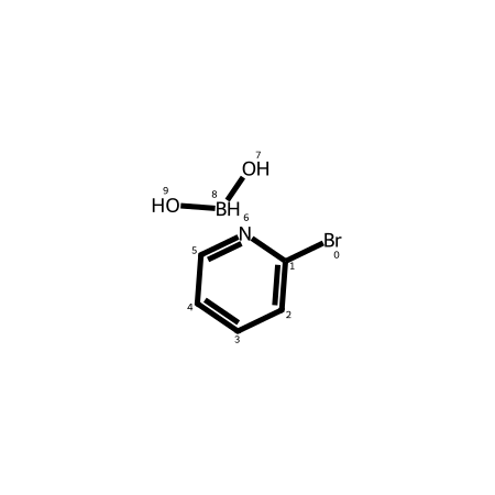 Brc1ccccn1.OBO